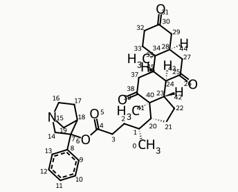 C[C@H](CCC(=O)OC1(c2ccccc2)CN2CCC1C2)[C@H]1CC[C@H]2[C@@H]3C(=O)C[C@@H]4CC(=O)CC[C@]4(C)[C@H]3CC(=O)[C@]12C